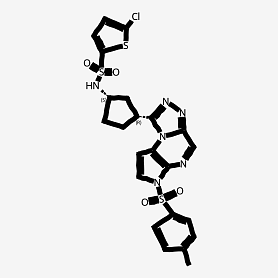 Cc1ccc(S(=O)(=O)n2ccc3c2ncc2nnc([C@@H]4CC[C@H](NS(=O)(=O)c5ccc(Cl)s5)C4)n23)cc1